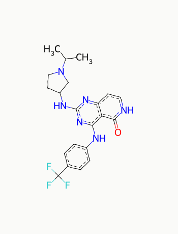 CC(C)N1CCC(Nc2nc(Nc3ccc(C(F)(F)F)cc3)c3c(=O)[nH]ccc3n2)C1